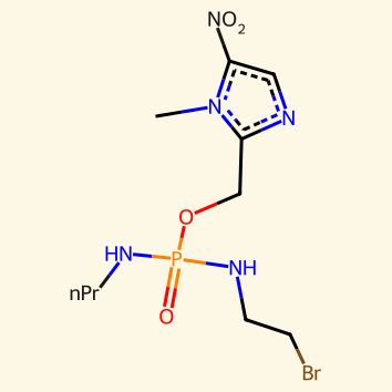 CCCNP(=O)(NCCBr)OCc1ncc([N+](=O)[O-])n1C